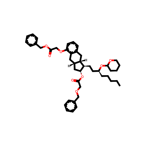 CCCCC[C@@H](CC[C@@H]1[C@H]2Cc3cccc(OCC(=O)OCc4ccccc4)c3C[C@H]2C[C@H]1OC(=O)COCc1ccccc1)OC1CCCCO1